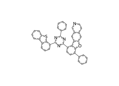 c1ccc(-c2nc(-c3cccc4c3sc3ccccc34)nc(-c3ccc(-c4ccccc4)c4oc5cc6ccncc6cc5c34)n2)cc1